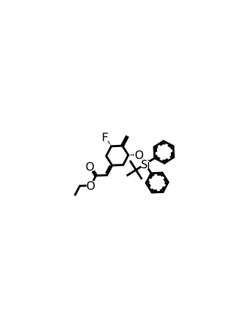 C=C1[C@@H](F)C/C(=C\C(=O)OCC)C[C@H]1O[Si](c1ccccc1)(c1ccccc1)C(C)(C)C